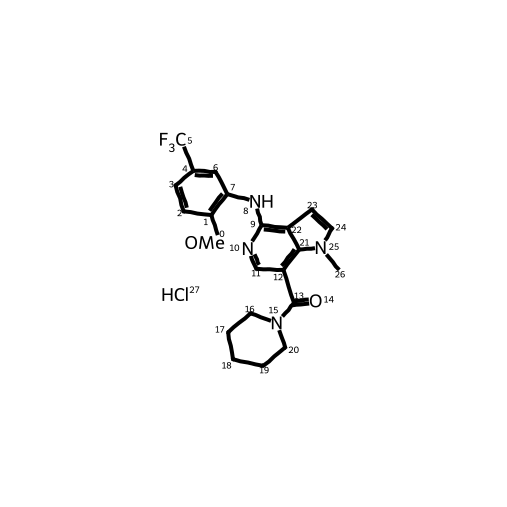 COc1ccc(C(F)(F)F)cc1Nc1ncc(C(=O)N2CCCCC2)c2c1ccn2C.Cl